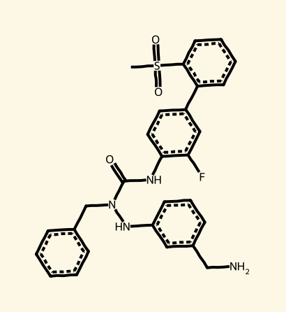 CS(=O)(=O)c1ccccc1-c1ccc(NC(=O)N(Cc2ccccc2)Nc2cccc(CN)c2)c(F)c1